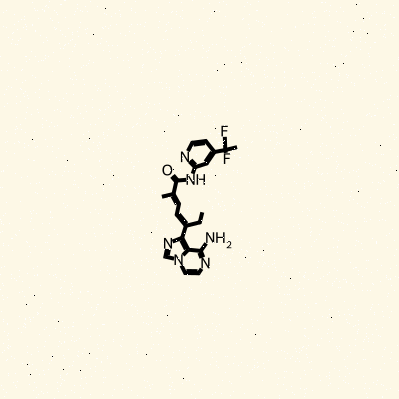 CC/C(=C\C=C(/C)C(=O)Nc1cc(C(C)(F)F)ccn1)c1ncn2ccnc(N)c12